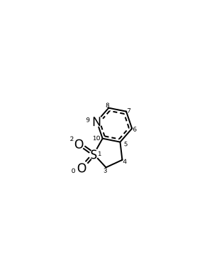 O=S1(=O)CCc2cccnc21